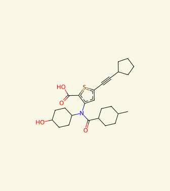 CC1CCC(C(=O)N(c2cc(C#CC3CCCC3)sc2C(=O)O)C2CCC(O)CC2)CC1